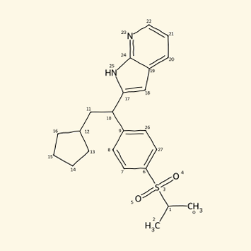 CC(C)S(=O)(=O)c1ccc(C(CC2CCCC2)c2cc3cccnc3[nH]2)cc1